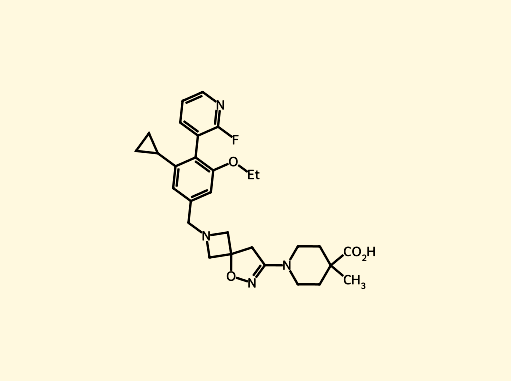 CCOc1cc(CN2CC3(CC(N4CCC(C)(C(=O)O)CC4)=NO3)C2)cc(C2CC2)c1-c1cccnc1F